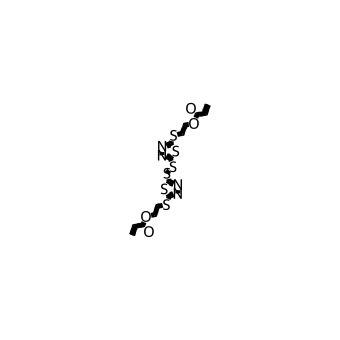 C=CC(=O)OCCSc1nnc(SSc2nnc(SCCOC(=O)C=C)s2)s1